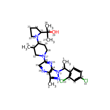 Cc1nn(C(C)c2ccc(Cl)cc2Cl)c2nc(N3CCC(N4CCCC4C(C)(C)O)C(C)C3)cnc12